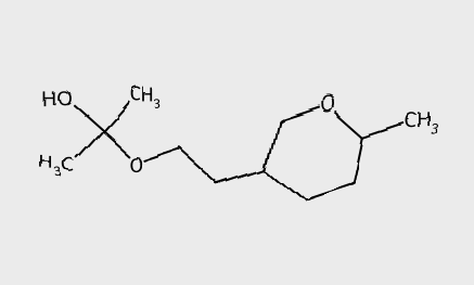 CC1CCC(CCOC(C)(C)O)CO1